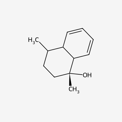 CC1CC[C@@](C)(O)C2C=CC=CC12